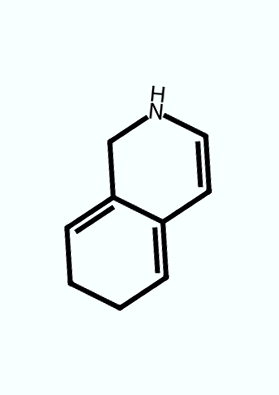 C1=CC2=CCCC=C2CN1